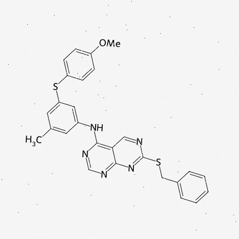 COc1ccc(Sc2cc(C)cc(Nc3ncnc4nc(SCc5ccccc5)ncc34)c2)cc1